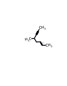 CC#CC(C)C/C=C/C